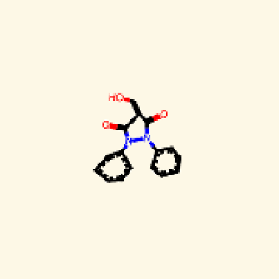 O=C1C(=CO)C(=O)N(c2ccccc2)N1c1ccccc1